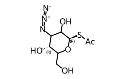 CC(=O)S[C@H]1OC(CO)[C@H](O)C(N=[N+]=[N-])C1O